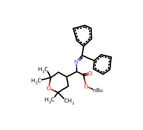 CCCCOC(=O)C(N=C(c1ccccc1)c1ccccc1)C1CC(C)(C)OC(C)(C)C1